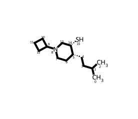 CC(C)CC[C@@H]1CCN(C2CCC2)C[C@@H]1S